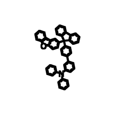 c1ccc(N(c2ccccc2)c2cccc(-c3ccc(C4(c5ccc6oc7ccccc7c6c5)c5ccccc5-c5ccccc54)cc3)c2)cc1